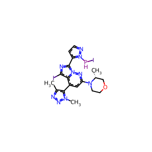 Cc1nnn(C)c1-c1cc(N2CCOC[C@H]2C)nn2c(-c3ccnn3PI)nc(I)c12